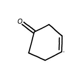 O=C1CC=[C]CC1